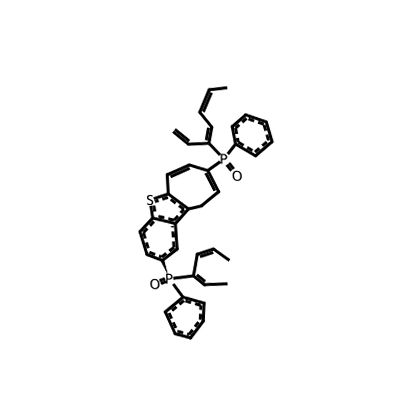 C=C/C(=C\C=C/C)P(=O)(C1=CCc2c(sc3ccc([P@@](=O)(C(/C=C\C)=C/C)c4ccccc4)cc23)C=C1)c1ccccc1